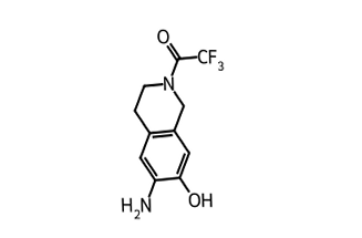 Nc1cc2c(cc1O)CN(C(=O)C(F)(F)F)CC2